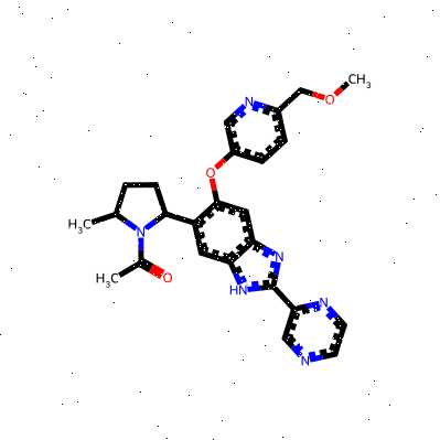 COCc1ccc(Oc2cc3nc(-c4cnccn4)[nH]c3cc2C2CCC(C)N2C(C)=O)cn1